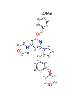 COc1ccc(COc2cc(N3CCOCC3)cc(N3CCCC3Cc3cccc(OC4CCOCC4)c3)n2)cc1